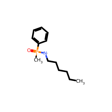 CCCCCC[N][P@](C)(=O)c1ccccc1